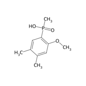 COc1cc(C)c(C)cc1P(C)(=O)O